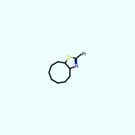 CC(C)C1=NC2CCCCCCCC2S1